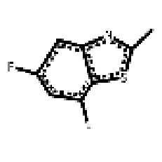 Cc1nc2cc(F)cc(F)c2s1